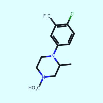 CC1CN(C(=O)O)CCN1c1ccc(Cl)c(C(F)(F)F)c1